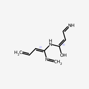 C=C/C=C(\N=C)N/C(O)=C\C=N